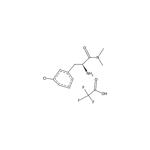 CN(C)C(=O)[C@@H](N)Cc1cccc(Cl)c1.O=C(O)C(F)(F)F